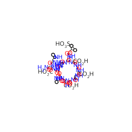 C[C@H](CC(=O)O)[C@@H]1NC(=O)[C@@H](CO)NC(=O)CNC(=O)[C@H](CC(=O)O)NC(=O)[C@@H](C)NC(=O)[C@H](CC(=O)O)NC(=O)[C@H](CCCNC(=O)OCC2c3ccccc3-c3ccc(S(=O)(=O)O)cc32)NC(=O)CNC(=O)[C@@H](NC(=O)[C@H](CC(=O)O)NC(=O)[C@@H](CC(N)=O)NC(=O)[C@H](N)Cc2c[nH]c3ccccc23)[C@@H](C)OC(=O)[C@H](CC(=O)c2ccccc2N)NC1=O